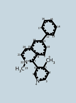 Cc1ccncc1-c1c2ccc(-c3ccccc3)cc2cc[n+]1C